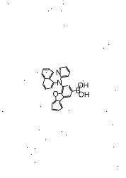 OB(O)c1cc(N(c2ccccn2)c2cccc3ccccc23)c2oc3ccccc3c2c1